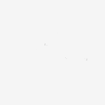 CC1CC(Nc2cccc(NC(=O)c3ccc(F)cc3Cl)c2)CCN1.Cl